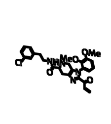 C=CC(=O)c1nc2c(n1-c1cccc(OC)c1OC)CNC(C(=O)NCCc1cccc(Cl)c1)C2